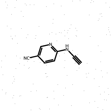 C#CNc1ccc(C#N)cn1